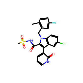 Cc1ccc(F)cc1Cn1c(C(=O)NS(C)(=O)=O)c(-c2ccc[nH]c2=O)c2cc(Cl)ccc21